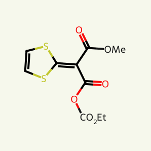 CCOC(=O)OC(=O)C(C(=O)OC)=C1SC=CS1